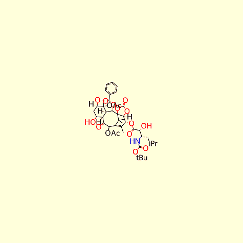 CC(=O)O[C@H]1C(=O)[C@@H]2[C@H]([C@H](OC(=O)c3ccccc3)[C@]34OC(=O)O[C@H]3[C@H](OC(=O)[C@H](O)[C@H](CC(C)C)NC(=O)OC(C)(C)C)C(C)=C1C4(C)C)[C@]1(OC(C)=O)CO[C@@H]1C[C@@H]2O